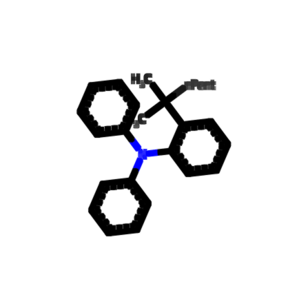 CCCCCC(C)(C)c1ccccc1N(c1ccccc1)c1ccccc1